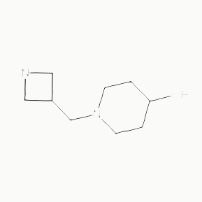 OC1CCN(CC2CNC2)CC1